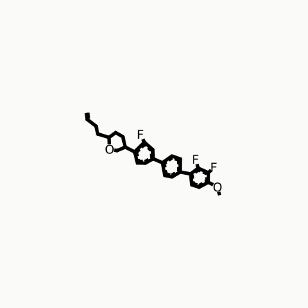 C=CCCC1CCC(c2ccc(-c3ccc(-c4ccc(OC)c(F)c4F)cc3)cc2F)CO1